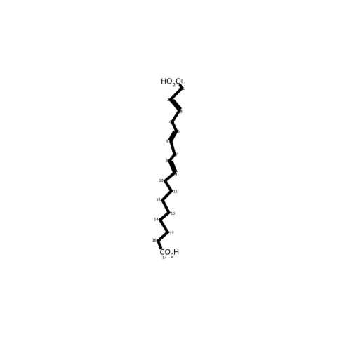 O=C(O)CC=CCC=CCC=CCCCCCCCC(=O)O